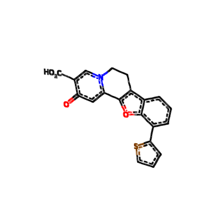 O=C(O)c1cn2c(cc1=O)-c1oc3c(-c4cccs4)cccc3c1CC2